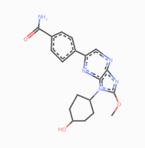 COc1nc2ncc(-c3ccc(C(N)=O)cc3)nc2n1C1CCC(O)CC1